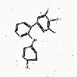 Oc1c(F)cc(-c2cccnc2Nc2ccc(C(F)(F)F)cc2)cc1F